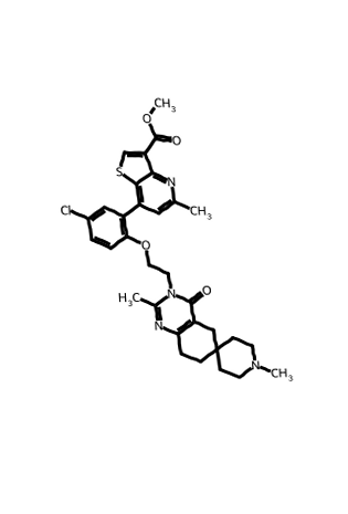 COC(=O)c1csc2c(-c3cc(Cl)ccc3OCCn3c(C)nc4c(c3=O)CC3(CC4)CCN(C)CC3)cc(C)nc12